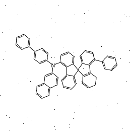 C1=CC2=C(CC1)c1c(-c3ccccc3)cccc1C21c2ccccc2-c2c(N(c3ccc(-c4ccccc4)cc3)c3ccc4ccccc4c3)cccc21